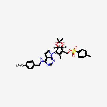 COc1ccc(CNc2ncnc3c2ccn3[C@@H]2C(C)=C(COS(=O)(=O)c3ccc(C)cc3)[C@H]3OC(C)(C)O[C@H]32)cc1